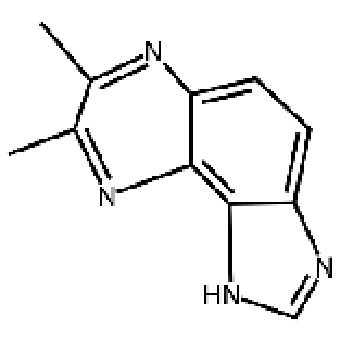 Cc1nc2ccc3nc[nH]c3c2nc1C